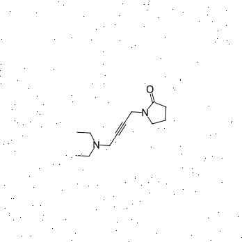 CCN(CC)CC#CCN1CCCC1=O